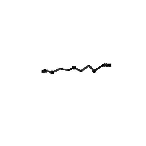 CCCCCCOCCOCCOCCC